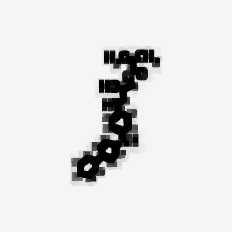 C=C(C)C(=O)OCC(O)CNc1ccc(Nc2ccc(C3CCCCC3)cc2)cc1